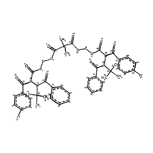 CC(C)(C(=O)OCOC(=O)N(C(=O)c1ccc(Cl)cc1)N(C(=O)c1ccccc1)C(C)(C)C)C(=O)OCOC(=O)N(C(=O)c1ccc(Cl)cc1)N(C(=O)c1ccccc1)C(C)(C)C